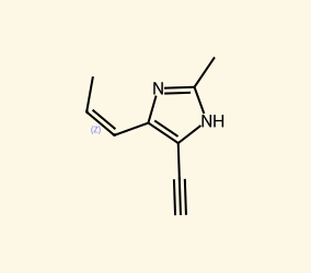 C#Cc1[nH]c(C)nc1/C=C\C